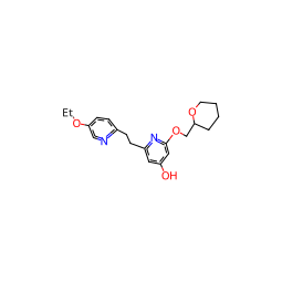 CCOc1ccc(CCc2cc(O)cc(OCC3CCCCO3)n2)nc1